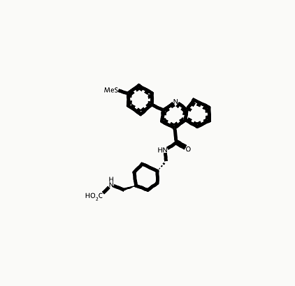 CSc1ccc(-c2cc(C(=O)NC[C@H]3CC[C@H](CNC(=O)O)CC3)c3ccccc3n2)cc1